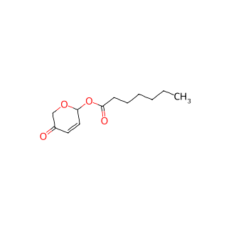 CCCCCCC(=O)OC1C=CC(=O)CO1